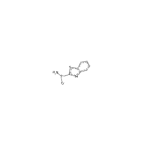 N[S+]([O-])c1nc2ccccc2s1